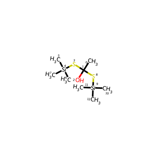 CC(O)(S[Si](C)(C)C)S[Si](C)(C)C